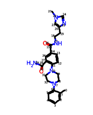 Cc1ccccc1N1CCN(c2ccc(C(=O)NCCc3cn(C)cn3)cc2C(N)=O)CC1